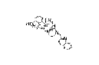 C[C@H]1CN2CCN(Cc3ccc4ccccc4n3)C[C@H]2C[C@@]1(C)c1cccc(O)c1